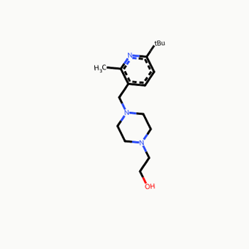 Cc1nc(C(C)(C)C)ccc1CN1CCN(CCO)CC1